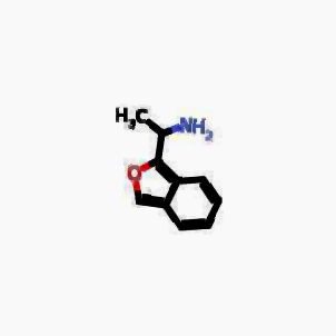 CC(N)c1occ2ccccc12